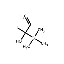 C=CC(O)(I)[Si](C)(C)C